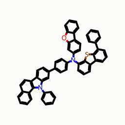 c1ccc(-c2cccc3c2sc2c(N(c4ccc(-c5ccc6c7ccc8ccccc8c7n(-c7ccccc7)c6c5)cc4)c4ccc5c(c4)oc4ccccc45)cccc23)cc1